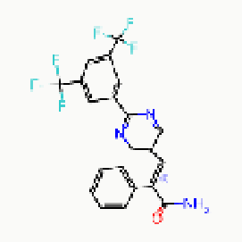 NC(=O)/C(=C/C1C=NC(c2cc(C(F)(F)F)cc(C(F)(F)F)c2)=NC1)c1ccccc1